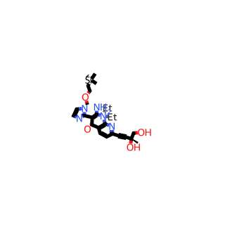 CC[N+]1(CC)C(N)=C(c2nccn2COCC[Si](C)(C)C)C(=O)c2ccc(C#C[C@@](C)(O)CO)nc21